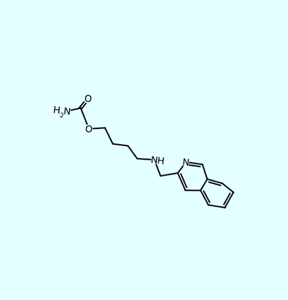 NC(=O)OCCCCNCc1cc2ccccc2cn1